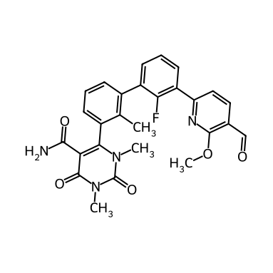 COc1nc(-c2cccc(-c3cccc(-c4c(C(N)=O)c(=O)n(C)c(=O)n4C)c3C)c2F)ccc1C=O